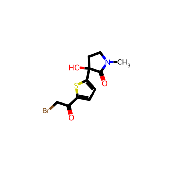 CN1CCC(O)(c2ccc(C(=O)CBr)s2)C1=O